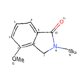 COc1cccc2c1CN(C(C)(C)C)C2=O